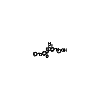 Cc1cc(CN2CCCC(O)C2)ccc1C(=O)Cn1ccc(OCc2ccccc2)cc1=O